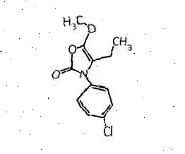 CCc1c(OC)oc(=O)n1-c1ccc(Cl)cc1